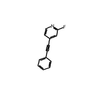 Fc1cc(C#Cc2ccccc2)ccn1